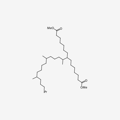 COC(=O)CCCCCCC(CCCCCCC(=O)OC)C(C)CCCC(C)CCCCC(C)CCCC(C)C